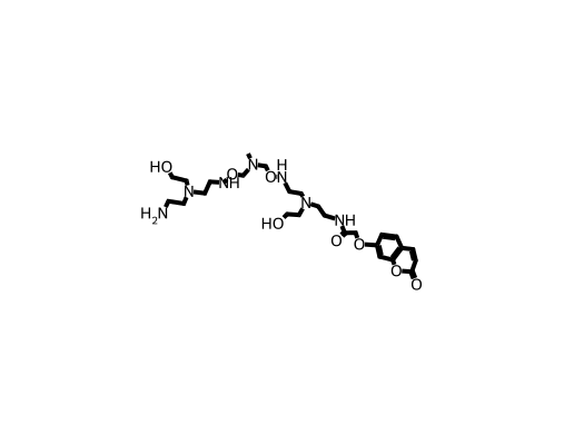 CN(CONCCN(CCN)CCO)CONCCN(CCO)CCNC(=O)COc1ccc2ccc(=O)oc2c1